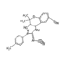 Cc1ccc(N/C(=N/C#N)NC2c3cc(C#N)ccc3OC(C)(C)C2O)cc1